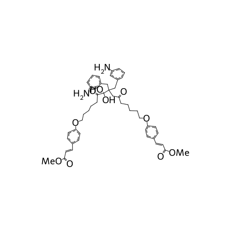 COC(=O)C=Cc1ccc(OCCCCCC(=O)CC(Cc2cccc(N)c2)(Cc2cccc(N)c2)C(O)(O)C(=O)CCCCCOc2ccc(C=CC(=O)OC)cc2)cc1